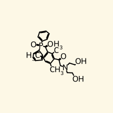 Cc1cc(C)c(C(=O)P(=O)(c2ccccc2)c2ccccc2)c(C)c1C(=O)CN(CCO)CCO